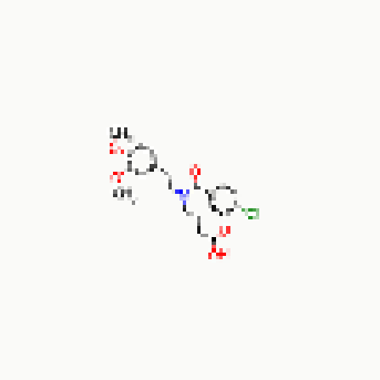 COc1ccc(CCN(CCCC(=O)O)C(=O)c2ccc(Cl)cc2)cc1OC